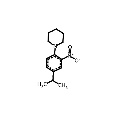 CC(C)c1ccc(N2CCCCC2)c([N+](=O)[O-])c1